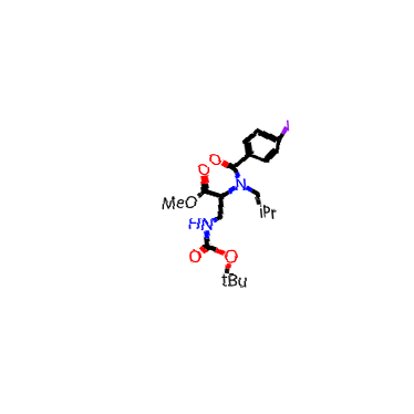 COC(=O)C(CNC(=O)OC(C)(C)C)N(CC(C)C)C(=O)c1ccc(I)cc1